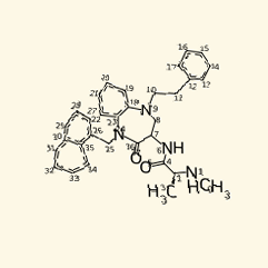 CN[C@@H](C)C(=O)NC1CN(CCc2ccccc2)c2ccccc2N(Cc2cccc3ccccc23)C1=O